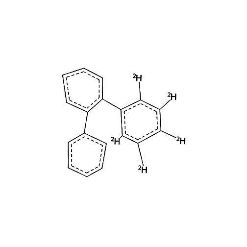 [2H]c1c([2H])c([2H])c(-c2ccccc2-c2ccccc2)c([2H])c1[2H]